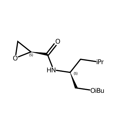 CC(C)COC[C@H](CC(C)C)NC(=O)[C@@H]1CO1